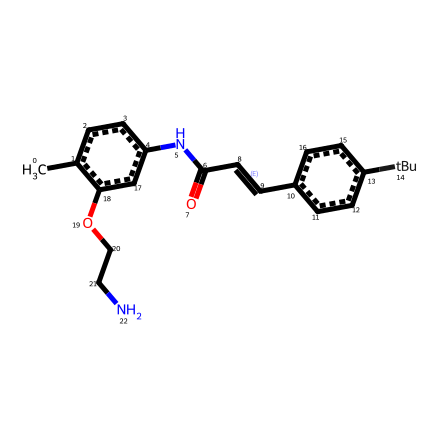 Cc1ccc(NC(=O)/C=C/c2ccc(C(C)(C)C)cc2)cc1OCCN